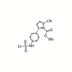 CCS(=O)(=O)Nc1ccc(-c2ccc(C#N)n2C(=O)OC(C)(C)C)cc1